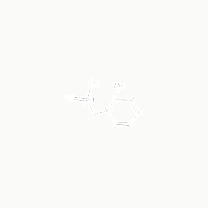 O=[PH](O)Oc1ccccc1.[Mo]